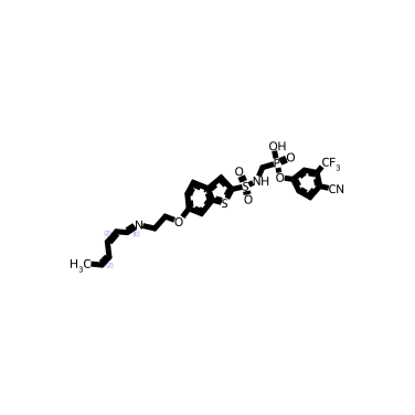 C\C=C/C=C\C=N\CCOc1ccc2cc(S(=O)(=O)NCP(=O)(O)Oc3ccc(C#N)c(C(F)(F)F)c3)sc2c1